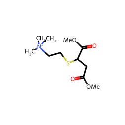 COC(=O)CC(SCC[N+](C)(C)C)C(=O)OC